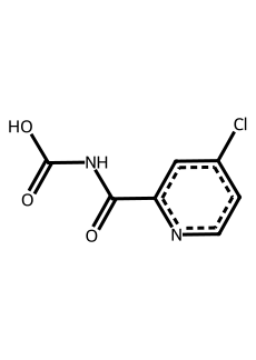 O=C(O)NC(=O)c1cc(Cl)ccn1